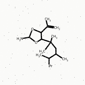 C=C(C)C1OC(N)OC1C(C)(C)CC(C)C(C)C(C)C